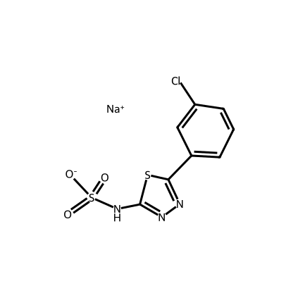 O=S(=O)([O-])Nc1nnc(-c2cccc(Cl)c2)s1.[Na+]